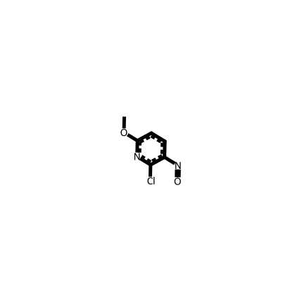 COc1ccc(N=O)c(Cl)n1